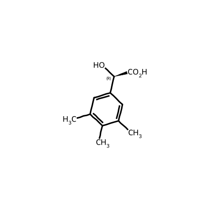 Cc1cc([C@@H](O)C(=O)O)cc(C)c1C